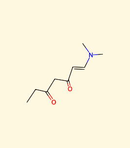 CCC(=O)CC(=O)C=CN(C)C